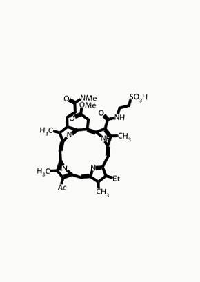 CCC1c2cc3[nH]c(c(CC(=O)OC)c4nc(cc5[nH]c(cc(n2)C1C)c(C(C)=O)c5C)C(C)C4CCC(=O)NC)c(C(=O)NCCS(=O)(=O)O)c3C